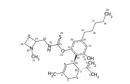 C=C(C)[C@@H]1CCC(C)=C[C@H]1c1c(O)cc(CCCCC)cc1OC(=S)NCC1CCN1C